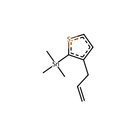 C=CCc1ccs[c]1[Sn]([CH3])([CH3])[CH3]